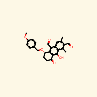 COc1ccc(CO[C@H]2CCC(=O)c3c2c(C=O)c2cc(C)c(C=O)c(C)c2c3O)cc1